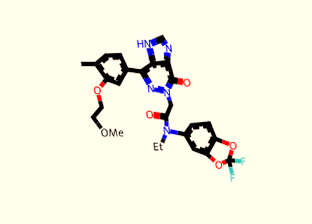 CCN(C(=O)Cn1nc(-c2ccc(C)c(OCCOC)c2)c2[nH]cnc2c1=O)c1ccc2c(c1)OC(F)(F)O2